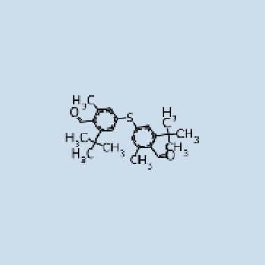 Cc1cc(Sc2cc(C)c(C=O)c(C(C)(C)C)c2)cc(C(C)(C)C)c1C=O